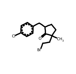 CC1(CCBr)CCC(Cc2ccc(Cl)cc2)C1=O